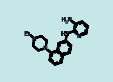 CCN1CCN(c2cccc3ccc(Nc4ncccc4N)cc23)CC1